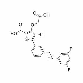 O=C(O)COc1c(C(=O)O)sc(-c2cccc(CNc3cc(F)cc(F)c3)c2)c1Cl